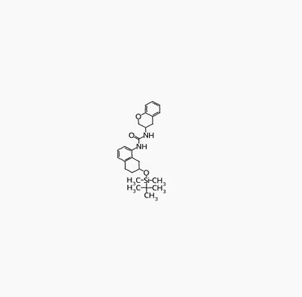 CC(C)(C)[Si](C)(C)OC1CCc2cccc(NC(=O)NC3COc4ccccc4C3)c2C1